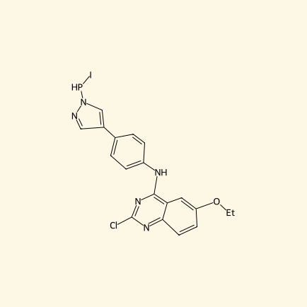 CCOc1ccc2nc(Cl)nc(Nc3ccc(-c4cnn(PI)c4)cc3)c2c1